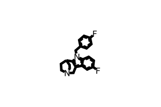 Fc1ccc(Cn2c3c(c4cc(F)ccc42)CN2CCC3CC2)cc1